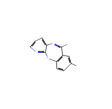 Cc1ccc2c(c1)C(Cl)=Nc1cccnc1N2